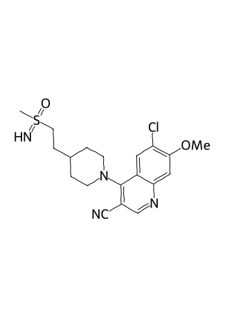 COc1cc2ncc(C#N)c(N3CCC(CCS(C)(=N)=O)CC3)c2cc1Cl